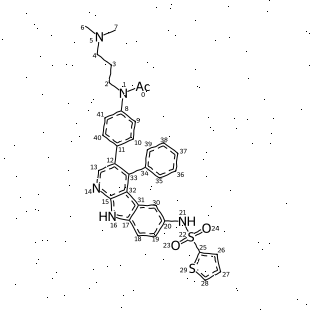 CC(=O)N(CCCN(C)C)c1ccc(-c2cnc3[nH]c4ccc(NS(=O)(=O)c5cccs5)cc4c3c2-c2ccccc2)cc1